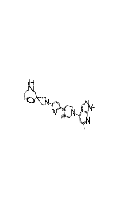 Cc1cc(N2CC[C@H](c3ccc(N4CC5(CNCCO5)C4)cn3)[C@@H](C)C2)c2cnn(C)c2n1